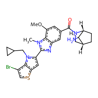 COc1cc(C(=O)N2C[C@H]3CC[C@@H]2[C@@H]3N)cc2nc(-c3cc4scc(Br)c4n3CC3CC3)n(C)c12